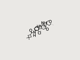 C[C@@H]1C[C@H](N2C(=N)N[C@](C)(c3cccc(NC(=O)C4CC(C)(C)C4)c3Cl)CC2=O)CCO1